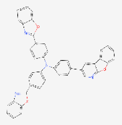 c1ccc2oc(-c3ccc(N(c4ccc(-c5cnc6oc7ccccc7c6c5)cc4)c4ccc(-c5nc6ccccc6o5)cc4)cc3)nc2c1